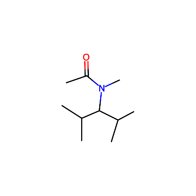 CC(=O)N(C)C(C(C)C)C(C)C